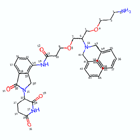 NCCCOCC(COCCC(=O)Nc1cccc2c1CN(C1CCC(=O)NC1=O)C2=O)N(Cc1ccccc1)Cc1ccccc1